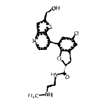 CNCCNC(=O)[C@H]1Cc2cc(Cl)cc(-c3ccnc4cc(CO)sc34)c2O1